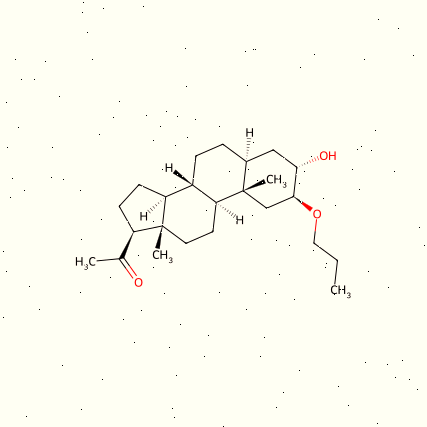 CCCO[C@H]1C[C@@]2(C)[C@@H](CC[C@@H]3[C@@H]2CC[C@]2(C)[C@@H](C(C)=O)CC[C@@H]32)C[C@@H]1O